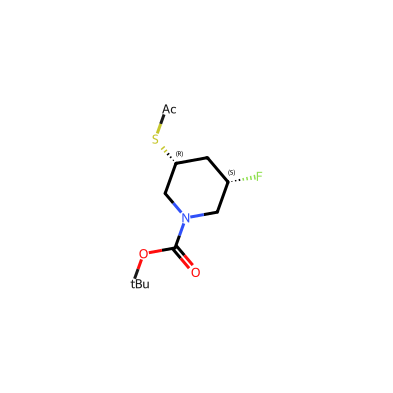 CC(=O)S[C@@H]1C[C@H](F)CN(C(=O)OC(C)(C)C)C1